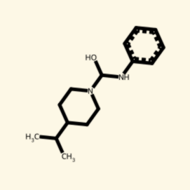 CC(C)C1CCN(C(O)Nc2ccccc2)CC1